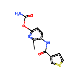 Cc1nc(OC(N)=O)ccc1NC(=O)c1ccsc1